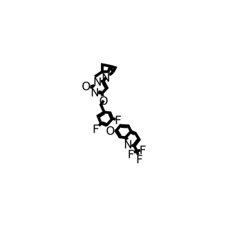 O=c1nc(OCc2cc(F)c(Oc3ccc4ccc(C(F)(F)F)nc4c3)c(F)c2)cc2n1CC13CC4(CC4N21)C3